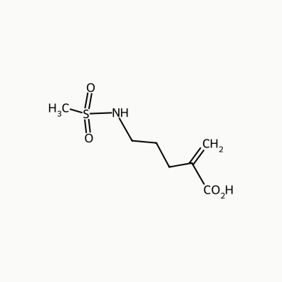 C=C(CCCNS(C)(=O)=O)C(=O)O